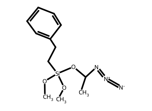 CO[Si](CCc1ccccc1)(OC)OC(C)N=[N+]=[N-]